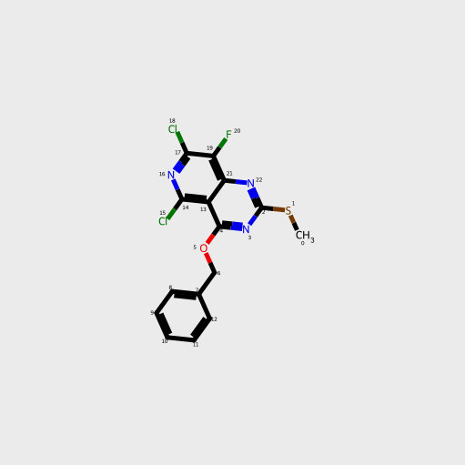 CSc1nc(OCc2ccccc2)c2c(Cl)nc(Cl)c(F)c2n1